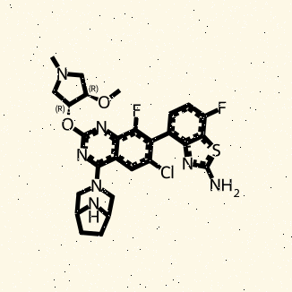 CO[C@@H]1CN(C)C[C@H]1Oc1nc(N2CC3CCC(C2)N3)c2cc(Cl)c(-c3ccc(F)c4sc(N)nc34)c(F)c2n1